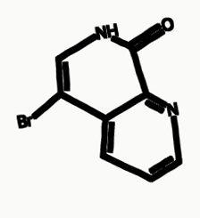 O=c1[nH]cc(Br)c2cccnc12